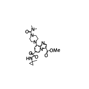 COC(=O)c1cnc2c(N3CCN(C(=O)N(C)C)CC3)cc(S(=O)(=O)NC3(C)CC3)cn12